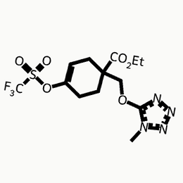 CCOC(=O)C1(COc2nnnn2C)CC=C(OS(=O)(=O)C(F)(F)F)CC1